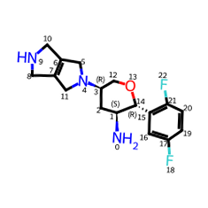 N[C@H]1C[C@@H](N2CC3=C(CNC3)C2)CO[C@@H]1c1cc(F)ccc1F